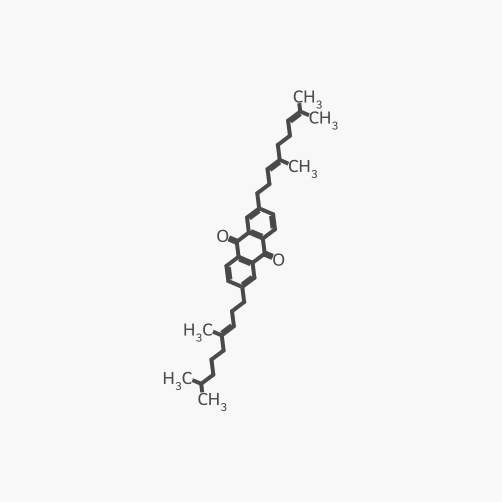 CC(C)=CCC/C(C)=C/CCc1ccc2c(c1)C(=O)c1ccc(CC/C=C(\C)CCCC(C)C)cc1C2=O